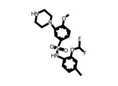 COc1ccc(S(=O)(=O)Nc2ccc(C)cc2OC(F)F)cc1N1CCNCC1